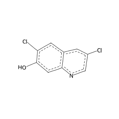 Oc1cc2ncc(Cl)cc2cc1Cl